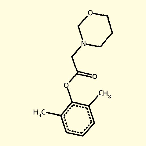 Cc1cccc(C)c1OC(=O)CN1CCCOC1